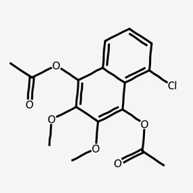 COc1c(OC)c(OC(C)=O)c2c(Cl)cccc2c1OC(C)=O